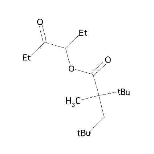 CCC(=O)C(CC)OC(=O)C(C)(CC(C)(C)C)C(C)(C)C